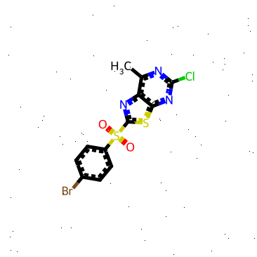 Cc1nc(Cl)nc2sc(S(=O)(=O)c3ccc(Br)cc3)nc12